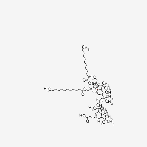 CC(C)(C)C1=CC(CCC(=O)O)=CC(C(C)(C)C)C1(C)O.CCCCCCCCCCCC(=O)OCC(COC(=O)CCCCCCCCCCC)(Cc1cc(C(C)(C)C)c(O)c(C(C)(C)C)c1)C1=NC(CC)CO1